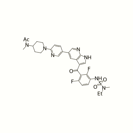 CCN(C)S(=O)(=O)Nc1ccc(F)c(C(=O)c2c[nH]c3ncc(-c4ccc(N5CCC(N(C)C(C)=O)CC5)nc4)cc23)c1F